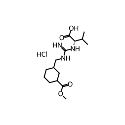 COC(=O)C1CCCC(CNC(=N)N[C@H](C(=O)O)C(C)C)C1.Cl